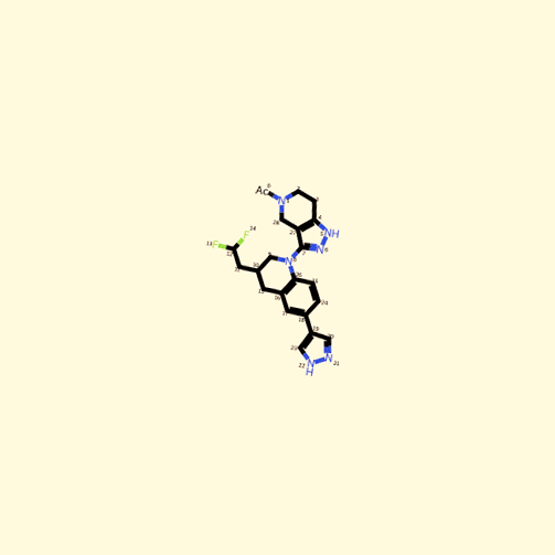 CC(=O)N1CCc2[nH]nc(N3CC(CC(F)F)Cc4cc(-c5cn[nH]c5)ccc43)c2C1